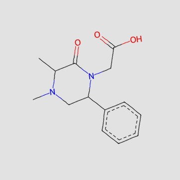 CC1C(=O)N(CC(=O)O)C(c2ccccc2)CN1C